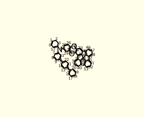 C1=CCCC(N(c2cccc(-c3ccc(-c4ccccc4)cc3)c2)c2ccc3c(c2)Oc2c(ccc4c2-c2ccccc2C42c4ccccc4-c4ccccc42)O3)=C1